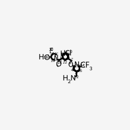 Cl.NCc1cc(OCc2cccc(C(=O)N3C[C@@H](O)[C@H](F)C3)c2)nc(C(F)(F)F)c1